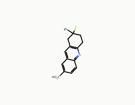 CC(C)C1(F)CCc2nc3ccc(C(=O)O)cc3cc2C1